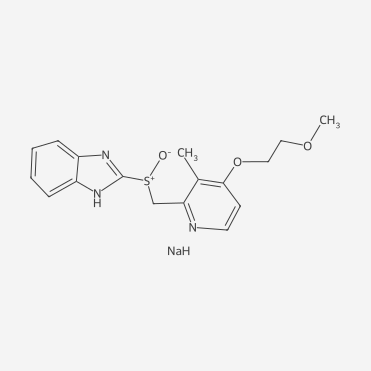 COCCOc1ccnc(C[S+]([O-])c2nc3ccccc3[nH]2)c1C.[NaH]